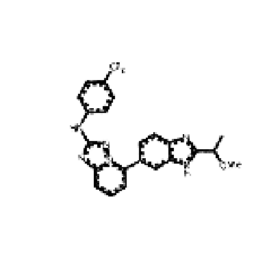 COC(C)c1nc2ccc(-c3cccc4nc(Nc5ccc(C(F)(F)F)cc5)nn34)cc2[nH]1